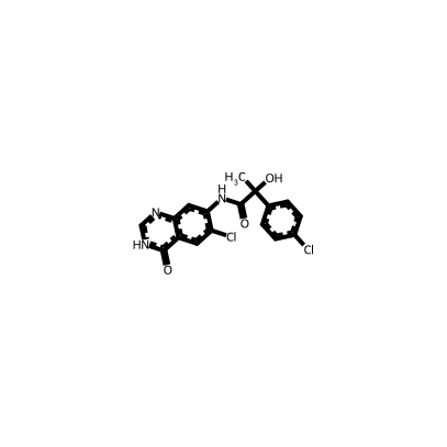 CC(O)(C(=O)Nc1cc2nc[nH]c(=O)c2cc1Cl)c1ccc(Cl)cc1